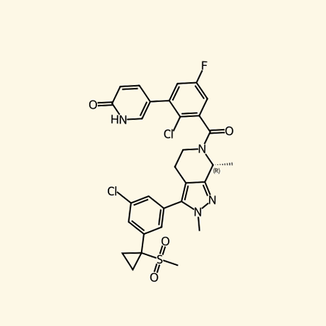 C[C@@H]1c2nn(C)c(-c3cc(Cl)cc(C4(S(C)(=O)=O)CC4)c3)c2CCN1C(=O)c1cc(F)cc(-c2ccc(=O)[nH]c2)c1Cl